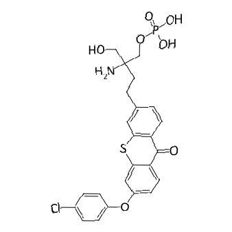 NC(CO)(CCc1ccc2c(=O)c3ccc(Oc4ccc(Cl)cc4)cc3sc2c1)COP(=O)(O)O